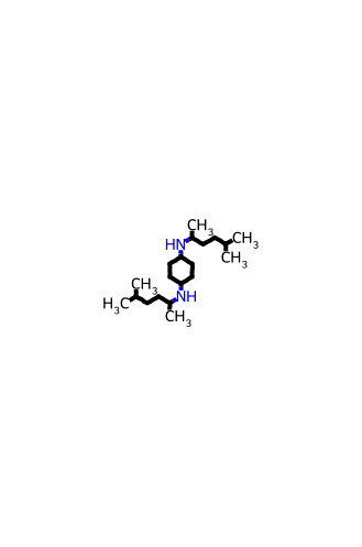 CC(C)CCC(C)NC1CCC(NC(C)CCC(C)C)CC1